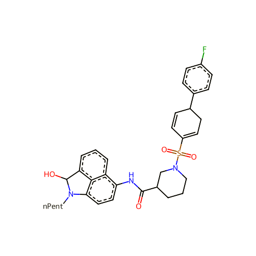 CCCCCN1c2ccc(NC(=O)C3CCCN(S(=O)(=O)C4=CCC(c5ccc(F)cc5)C=C4)C3)c3cccc(c23)C1O